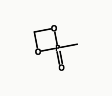 CP1(=O)OCO1